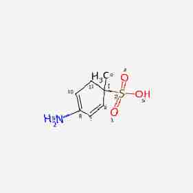 CC1(S(=O)(=O)O)C=CC(N)=CC1